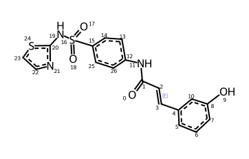 O=C(/C=C/c1cccc(O)c1)Nc1ccc(S(=O)(=O)Nc2nccs2)cc1